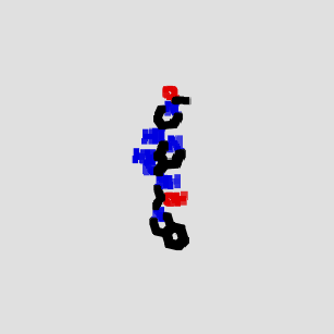 CC(=O)N1CCC(Nc2nccc3c(NCC(O)CN4CCc5ccccc5C4)n[nH]c23)CC1